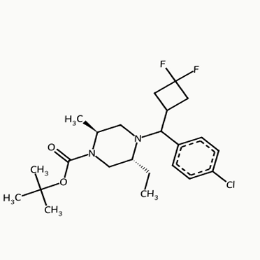 CC[C@@H]1CN(C(=O)OC(C)(C)C)[C@@H](C)CN1C(c1ccc(Cl)cc1)C1CC(F)(F)C1